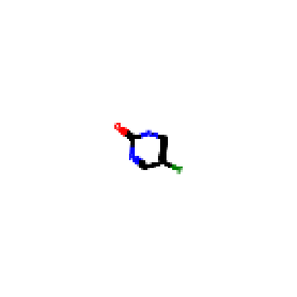 O=C1[N]C=C(F)C=N1